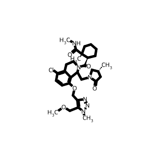 CNC(=O)[C@@]1(C)CCCC[C@H]1C(=O)N1CCc2c(Cl)ccc(OCc3nnn(C)c3COC)c2C1CN1C[C@H](C)CC1=O